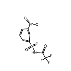 O=C(NS(=O)(=O)c1cccc([N+](=O)[O-])c1)C(F)(F)F